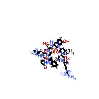 CC(C)C[C@H](NC(=O)[C@@H](CC(C)C)NC(=O)[C@H](Cc1ccc(O)cc1)NC(=O)[C@H](CO)NC(=O)[C@H](Cc1c[nH]c2ccccc12)NC(=O)[C@H](Cc1c[nH]cn1)NC(=O)[C@@H]1CCC(=O)N1)C(=O)N[C@H]([C]=O)CCCNC(=N)N